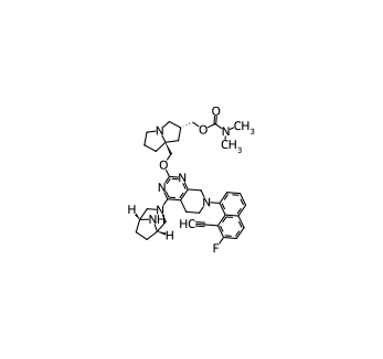 C#Cc1c(F)ccc2cccc(N3CCc4c(nc(OC[C@@]56CCCN5C[C@H](COC(=O)N(C)C)C6)nc4N4C[C@H]5CC[C@@H](C4)N5)C3)c12